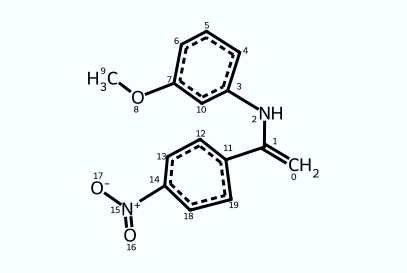 C=C(Nc1cccc(OC)c1)c1ccc([N+](=O)[O-])cc1